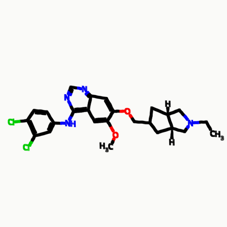 CCN1C[C@H]2CC(COc3cc4ncnc(Nc5ccc(Cl)c(Cl)c5)c4cc3OC)C[C@H]2C1